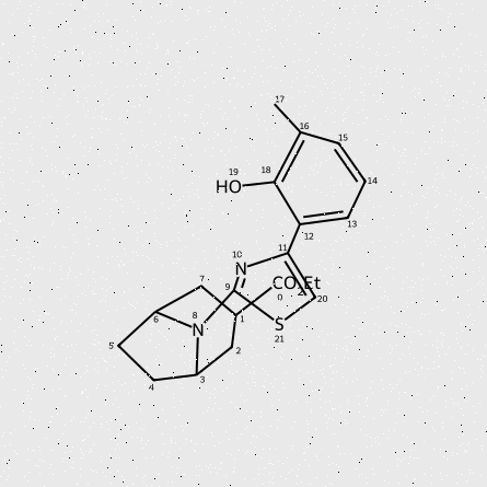 CCOC(=O)C1CC2CCC(C1)N2c1nc(-c2cccc(C)c2O)cs1